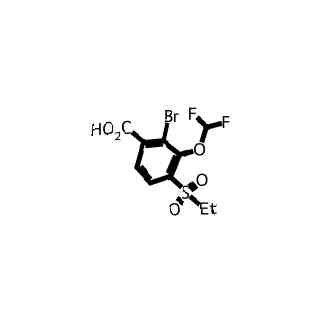 CCS(=O)(=O)c1ccc(C(=O)O)c(Br)c1OC(F)F